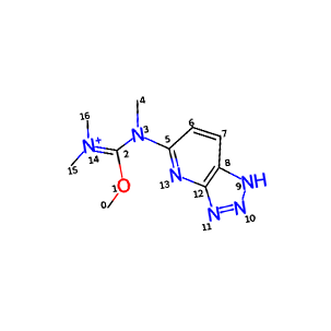 COC(N(C)c1ccc2[nH]nnc2n1)=[N+](C)C